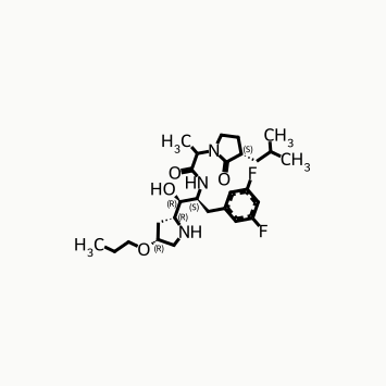 CCCO[C@H]1CN[C@@H]([C@@H](O)[C@H](Cc2cc(F)cc(F)c2)NC(=O)C(C)N2CC[C@H](CC(C)C)C2=O)C1